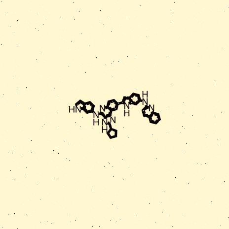 c1ccc2nc(Nc3ccc4cc(-c5ccc6nc(Nc7ccc8cc[nH]c8c7)c7[nH]c(C8CCCC8)nc7c6c5)[nH]c4c3)ccc2c1